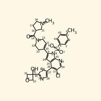 Cc1ccc(S(=O)(=O)n2c(C3=CCN(C(=O)C4CCN(C)C4)CC3)cc3c(-c4cnc(C5(O)COC5)s4)c(Cl)cnc32)cc1